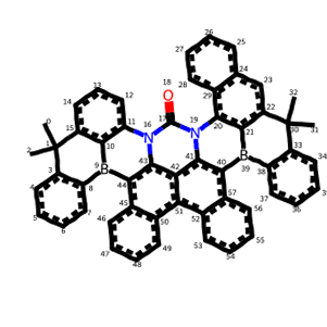 CC1(C)c2ccccc2B2c3c(cccc31)N1C(=O)N3c4c5c(cc6ccccc46)C(C)(C)c4ccccc4B5c4c3c3c1c2c1ccccc1c3c1ccccc41